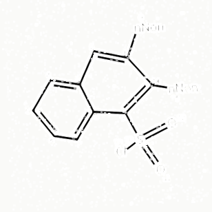 CCCCCCCCCc1cc2ccccc2c(S(=O)(=O)Cl)c1CCCCCCCCC